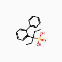 CCC(CC)(c1ccccc1-c1ccccc1)P(=O)(O)O